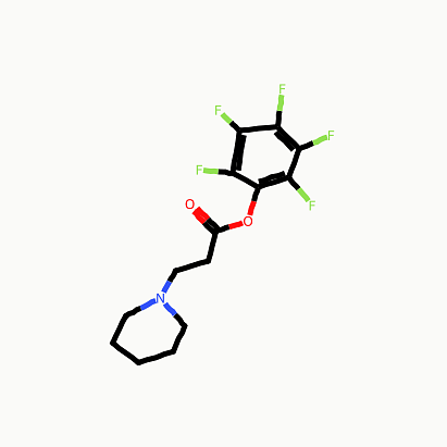 O=C(CCN1CCCCC1)Oc1c(F)c(F)c(F)c(F)c1F